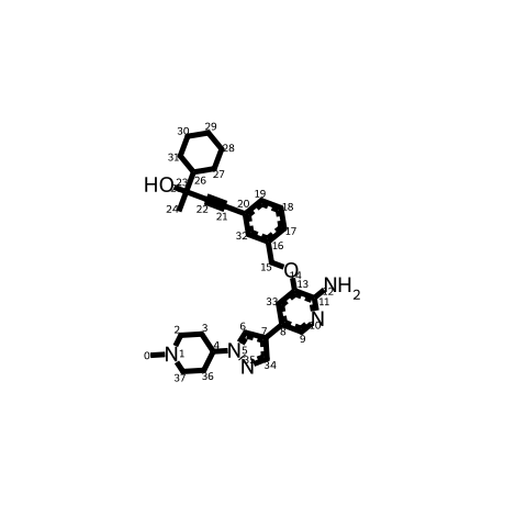 CN1CCC(n2cc(-c3cnc(N)c(OCc4cccc(C#CC(C)(O)C5CCCCC5)c4)c3)cn2)CC1